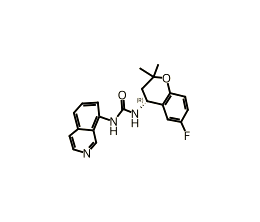 CC1(C)C[C@@H](NC(=O)Nc2cccc3ccncc23)c2cc(F)ccc2O1